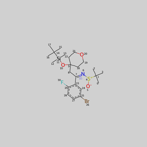 CC(C)(C)[S+]([O-])/N=C(/CC1(O[Si](C)(C)C(C)(C)C)CCOCC1)c1cc(Br)ccc1F